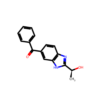 C[C@H](O)c1nc2ccc(C(=O)c3ccccc3)cc2[nH]1